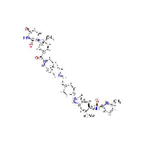 COc1cc2nn([C@H]3CC[C@H](CCN4CCC5(CC4)CCN(C(=O)c4ccc(C)c(N6CCC(=O)NC6=O)c4)CC5)CC3)cc2cc1NC(=O)c1cccc(C)n1